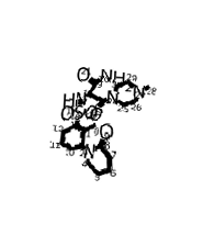 Cc1c(N2CCCCC2=O)cccc1S(=O)(=O)N[C@@H](C(N)=O)C(=O)N1CCN(C)CC1